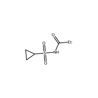 C[CH]C(=O)NS(=O)(=O)C1CC1